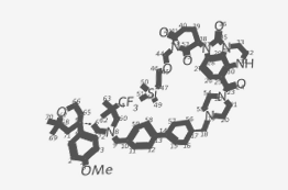 COc1ccc([C@]2(CCN(Cc3ccc(C4=CC[C@H](CN5CCN(C(=O)c6ccc7c8c6NCCn8c(=O)n7C6CCC(=O)N(COCC[Si](C)(C)C)C6=O)CC5)CC4)cc3)CC(C)(C)C(F)(F)F)CCOC(C)(C)C2)cc1